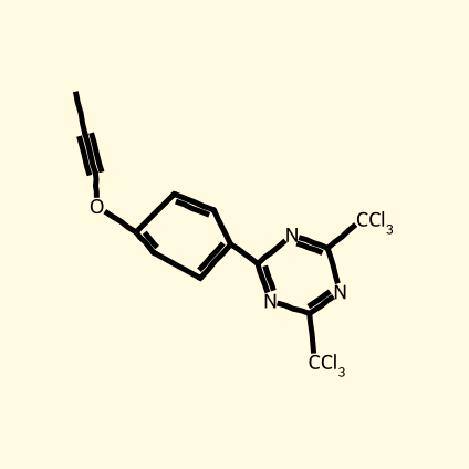 CC#COc1ccc(-c2nc(C(Cl)(Cl)Cl)nc(C(Cl)(Cl)Cl)n2)cc1